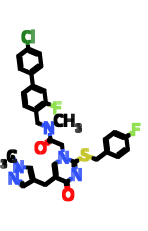 CN(Cc1ccc(-c2ccc(Cl)cc2)cc1F)C(=O)Cn1cc(Cc2cnn(C)c2)c(=O)nc1SCc1ccc(F)cc1